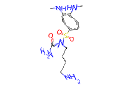 CNc1ccc(S(=O)(=O)N(CCCCN)C(N)=O)cc1NC